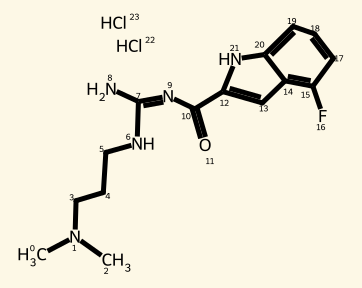 CN(C)CCCNC(N)=NC(=O)c1cc2c(F)cccc2[nH]1.Cl.Cl